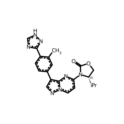 Cc1cc(-c2cnn3ccc(N4C(=O)OC[C@@H]4C(C)C)nc23)ccc1-c1nc[nH]n1